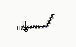 CCCCCCCC/C=C\CCCCCCCCCCCC(=O)NO